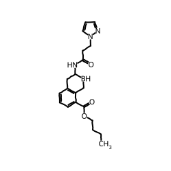 CCCCOC(=O)c1cccc2c1CBC(NC(=O)CCn1cccn1)C2